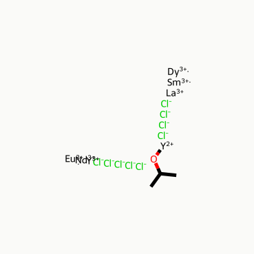 CC(C)[O][Y+2].[Cl-].[Cl-].[Cl-].[Cl-].[Cl-].[Cl-].[Cl-].[Cl-].[Cl-].[Dy+3].[Eu+3].[La+3].[Nd+3].[Sm+3].[Y+3]